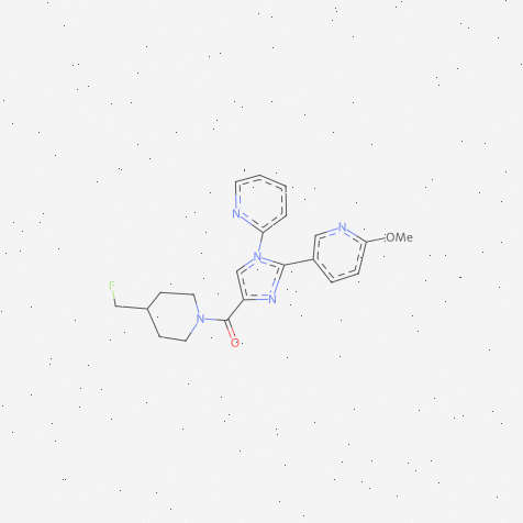 COc1ccc(-c2nc(C(=O)N3CCC(CF)CC3)cn2-c2ccccn2)cn1